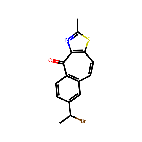 Cc1nc2c(=O)c3ccc(C(C)Br)cc3ccc2s1